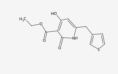 CCOC(=O)c1c(O)cc(Cc2ccsc2)[nH]c1=O